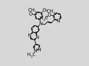 COc1cc(OC)cc(N(C/C=C/c2ncccc2OC)c2ccc3ncc(-c4cnn(C)c4)nc3c2)c1